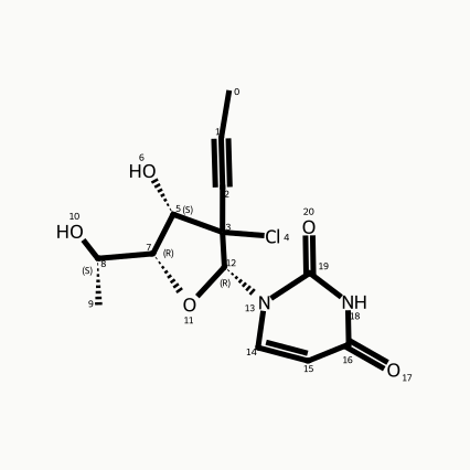 CC#CC1(Cl)[C@@H](O)[C@@H]([C@H](C)O)O[C@H]1n1ccc(=O)[nH]c1=O